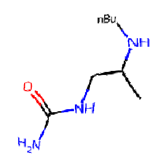 CCCCNC(C)CNC(N)=O